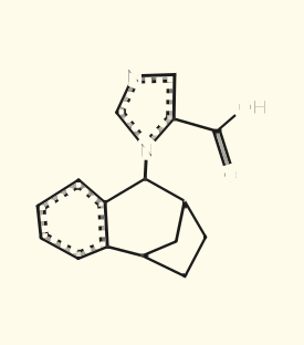 O=C(O)c1cncn1C1c2ccccc2C2CCC1C2